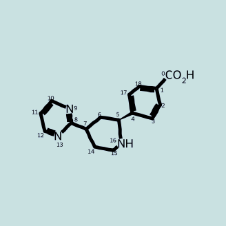 O=C(O)c1ccc([C@@H]2CC(c3ncccn3)CCN2)cc1